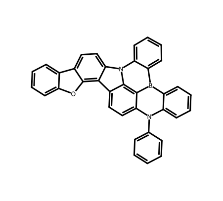 c1ccc(N2c3ccccc3B3c4ccccc4-n4c5ccc6c7ccccc7oc6c5c5ccc2c3c54)cc1